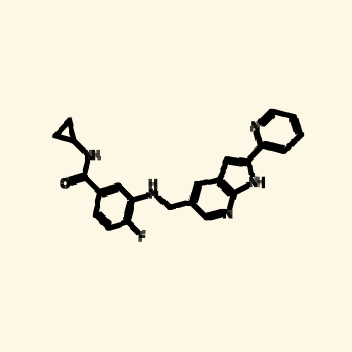 O=C(NC1CC1)c1ccc(F)c(NCc2cnc3[nH]c(-c4ccccn4)cc3c2)c1